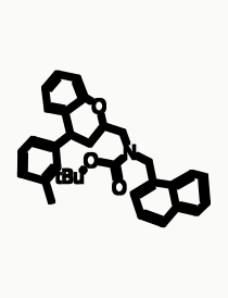 Cc1cccc(C2CC(CN(Cc3cccc4ccccc34)C(=O)OC(C)(C)C)Oc3ccccc32)c1